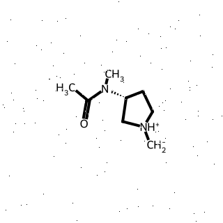 [CH2-][NH+]1CC[C@@H](N(C)C(C)=O)C1